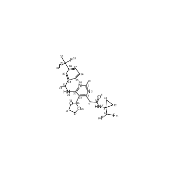 Cc1nc(CC(=O)NC2(C(F)F)CC2)c(C2OCCO2)c(NC(C)c2cccc(C(C)(F)F)c2)n1